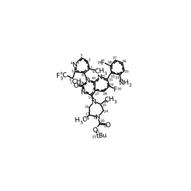 Cc1ccnc(C(C)C(F)(F)F)c1-n1c(=O)nc(N2CC(C)N(C(=O)OC(C)(C)C)CC2C)c2cc(F)c(-c3c(N)cccc3F)nc21